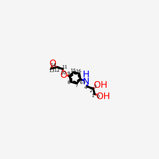 OCC(O)CNc1ccc(OCC2CO2)cc1